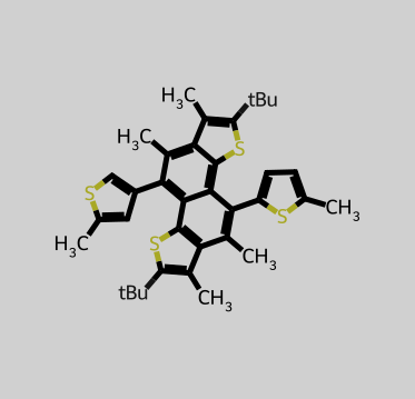 Cc1cc(-c2c(C)c3c(C)c(C(C)(C)C)sc3c3c(-c4ccc(C)s4)c(C)c4c(C)c(C(C)(C)C)sc4c23)cs1